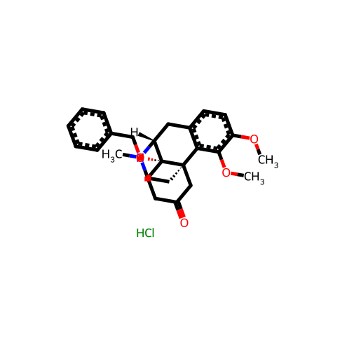 COc1ccc2c(c1OC)[C@]13CCN(C)[C@H](C2)[C@]1(OCc1ccccc1)CCC(=O)C3.Cl